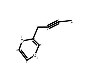 CC#CCC1=COC=CO1